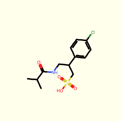 CC(C)C(=O)NCC(CS(=O)(=O)O)c1ccc(Cl)cc1